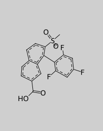 CS(=O)(=O)c1ccc2ccc(C(=O)O)cc2c1-c1c(F)cc(F)cc1F